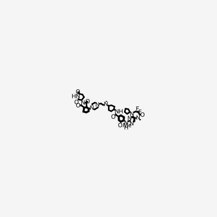 COc1cc(C(=O)NC2CCC(N(C)CCN3CCN(c4cccc5c4C(=O)N(C4CCC(=O)NC4=O)C5=O)CC3)CC2)ccc1Nc1ncc2c(n1)N(C1CCCC1)CC(F)(F)C(=O)N2C